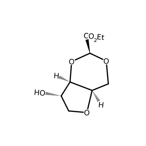 CCOC(=O)[C@H]1OC[C@H]2OC[C@H](O)[C@H]2O1